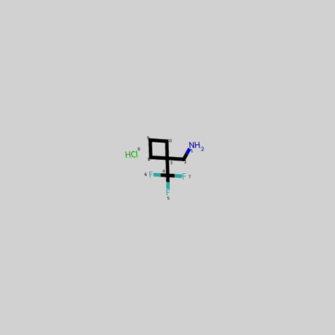 Cl.NCC1(C(F)(F)F)CCC1